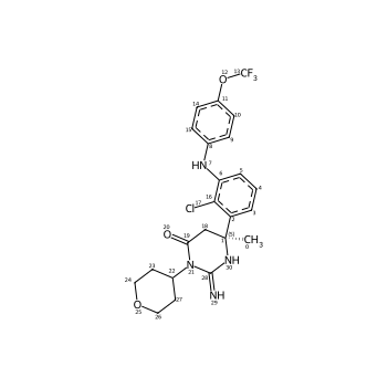 C[C@@]1(c2cccc(Nc3ccc(OC(F)(F)F)cc3)c2Cl)CC(=O)N(C2CCOCC2)C(=N)N1